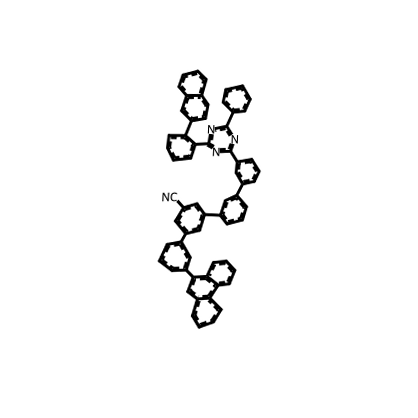 N#Cc1cc(-c2cccc(-c3cccc(-c4nc(-c5ccccc5)nc(-c5ccccc5-c5ccc6ccccc6c5)n4)c3)c2)cc(-c2cccc(-c3cc4ccccc4c4ccccc34)c2)c1